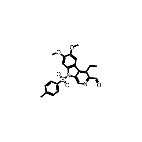 CCc1c(C=O)ncc2c1c1cc(OC)c(OC)cc1n2S(=O)(=O)c1ccc(C)cc1